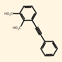 O=C(O)c1cccc(C#Cc2ccccc2)c1C(=O)O